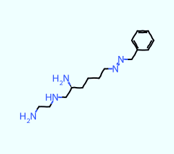 NCCNC[C@@H](N)CCCCN=NCc1ccccc1